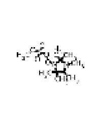 COS(=O)(=O)OON1C(C)(C)C(C)N(C)C1(C)C